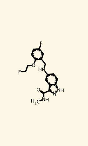 CNC(=O)c1n[nH]c2ccc(NCc3cc(F)ccc3OCCF)cc12